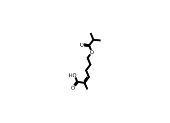 CC(=CCCCOC(=O)C(C)C)C(=O)O